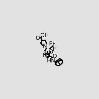 O=C(NC1C2CC3CC(C2)CC1C3)c1cnn(CCN2CCC(C(=O)O)CC2)c1OCC(F)(F)F